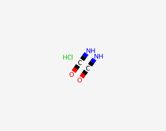 Cl.N=C=O.N=C=O